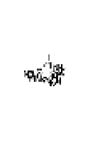 Cc1nnc2sc3c(N4CC(NC(=O)c5ccncc5)C4)ncnc3c2c1C.Cl